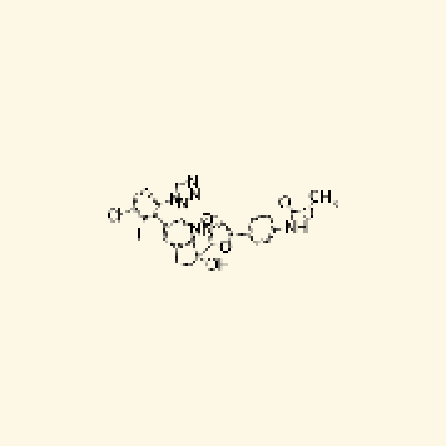 COC(=O)Nc1ccc(-c2cnc(C3(O)CCc4cc(-c5c(-n6cnnn6)ccc(Cl)c5F)c[n+]([O-])c43)o2)cc1